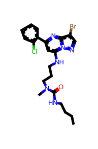 CCCCNC(=O)N(C)CCCNc1cc(-c2ccccc2Cl)nc2c(Br)cnn12